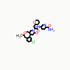 CC1Cc2ccc(Cl)cc2-c2cc(=O)n(C(CC3CCCCO3)C(=O)Nc3ccc(C(N)=O)nc3)cc2CO1